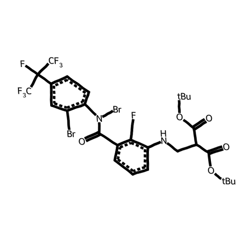 CC(C)(C)OC(=O)C(CNc1cccc(C(=O)N(Br)c2ccc(C(F)(C(F)(F)F)C(F)(F)F)cc2Br)c1F)C(=O)OC(C)(C)C